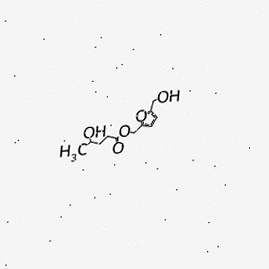 CC(O)CCC(=O)OCc1ccc(CO)o1